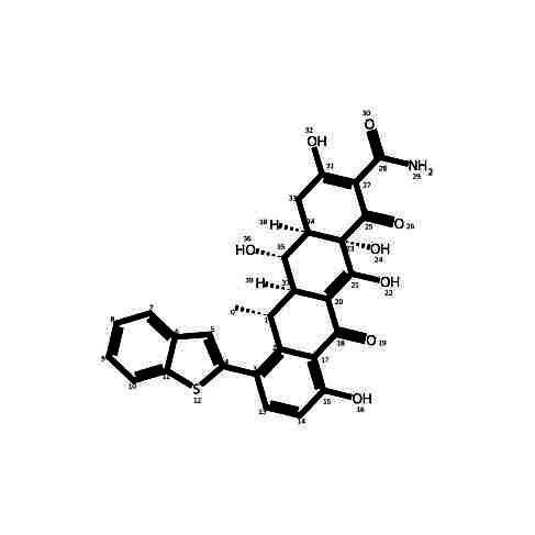 C[C@H]1c2c(-c3cc4ccccc4s3)ccc(O)c2C(=O)C2=C(O)[C@]3(O)C(=O)C(C(N)=O)=C(O)C[C@@H]3[C@@H](O)[C@@H]21